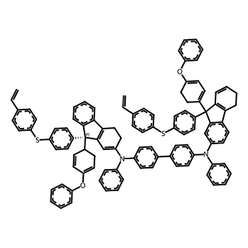 C=Cc1ccc(Sc2ccc(C3(C4=CC=C(Oc5ccccc5)CC4)C4=C(CCC=C4)c4ccc(N(c5ccccc5)c5ccc(-c6ccc(N(C7=CC8=C(CC7)c7ccccc7[C@]8(c7ccc(Sc8ccc(C=C)cc8)cc7)C7C=CC(Oc8ccccc8)=CC7)c7ccccc7)cc6)cc5)cc43)cc2)cc1